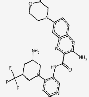 Nc1cc2ccc(N3CCOCC3)cc2nc1C(=O)Nc1cnccc1N1CC(C(F)(F)F)C[C@H](N)C1